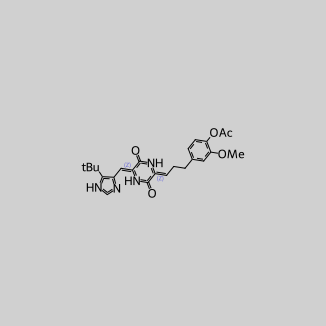 COc1cc(CC/C=c2\[nH]c(=O)/c(=C/c3nc[nH]c3C(C)(C)C)[nH]c2=O)ccc1OC(C)=O